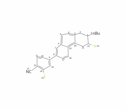 CCCCC1Cc2ccc3cc(-c4ccc(C#N)c(F)c4)ccc3c2CC1F